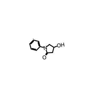 O=C1CC(O)CN1c1c[c]ccc1